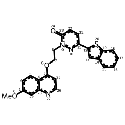 COc1ccc2c(OCCn3nc(-c4cc5ccccc5s4)ccc3=O)ccnc2c1